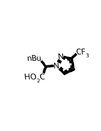 CCCCC(C(=O)O)n1ccc(C(F)(F)F)n1